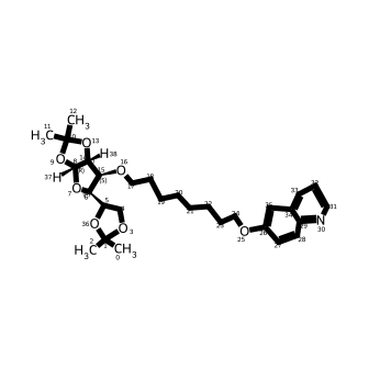 CC1(C)OCC([C@H]2O[C@@H]3OC(C)(C)O[C@@H]3[C@H]2OCCCCCCCCOc2ccc3ncccc3c2)O1